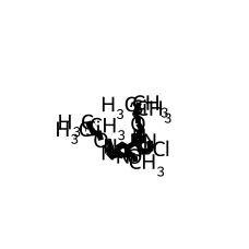 COc1nc2cnn(COCC[Si](C)(C)C)c2cc1-c1cn(COCC[Si](C)(C)C)c2nc(Cl)ccc12